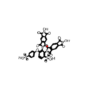 O=c1c2cc3c(=O)n(-c4c(Oc5ccc(S(=O)(=O)O)cc5)ccc(S(=O)(=O)O)c4-n4c(=O)c5cc6c(=O)n(O)c(=O)c6cc5c4=O)c(=O)c3cc2c(=O)n1O